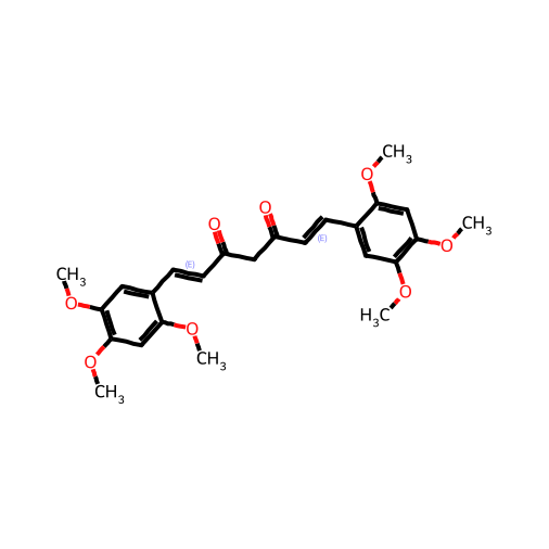 COc1cc(OC)c(OC)cc1/C=C/C(=O)CC(=O)/C=C/c1cc(OC)c(OC)cc1OC